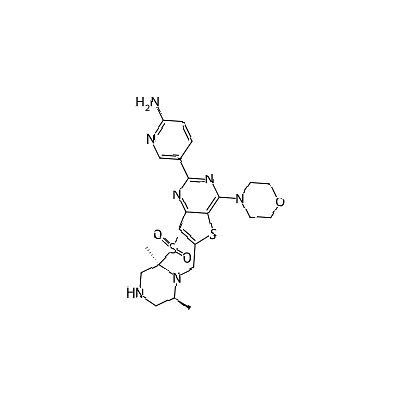 C[C@H]1CNC[C@@](C)(S(C)(=O)=O)N1Cc1cc2nc(-c3ccc(N)nc3)nc(N3CCOCC3)c2s1